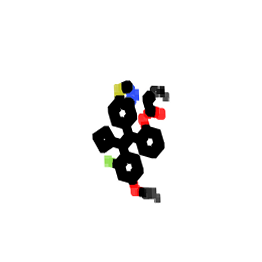 C=CC(=O)Oc1ccccc1/C(=C(\c1ccc(OC)cc1F)C1CCC1)c1ccc2scnc2c1